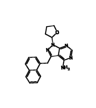 Nc1ncnc2c1c(Cc1cccc3ccccc13)nn2C1CCCO1